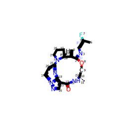 C=C1/C(=N\C=C(/C)F)OC[C@H](C)NC(=O)c2cnn3ccc(nc23)N2CCC[C@H]12